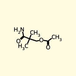 CC(=O)OCC(C)(C)C(N)=O